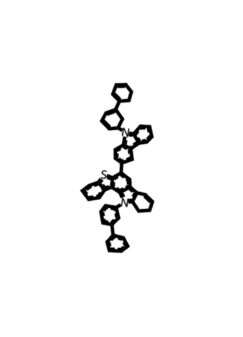 C1=CCCC(C2=CC=CC(n3c4ccccc4c4cc(-c5cc6c7c(n(-c8cccc(-c9ccccc9)c8)c6c6c5sc5ccccc56)CCC=C7)ccc43)C2)=C1